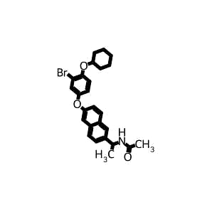 CC(=O)NC(C)c1ccc2cc(Oc3ccc(OC4CCCCC4)c(Br)c3)ccc2c1